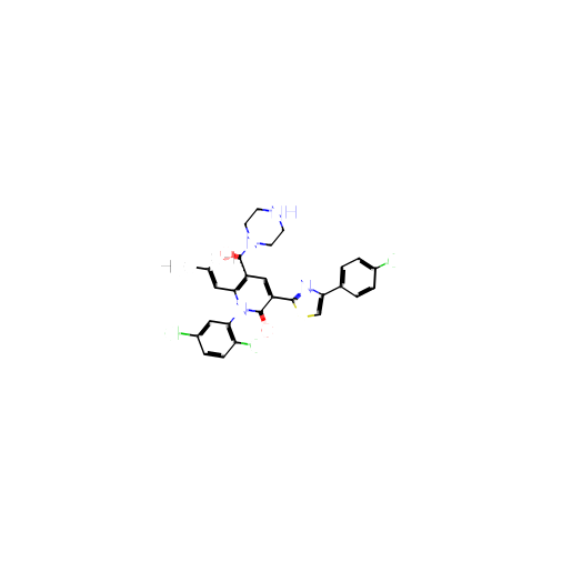 CC(C)=Cc1c(C(=O)N2CCNCC2)cc(-c2nc(-c3ccc(Cl)cc3)cs2)c(=O)n1-c1cc(Cl)ccc1Cl